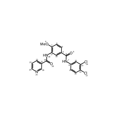 COc1ccc(C(=O)Nc2ccc(Cl)c(Cl)c2)cc1NC(=O)c1cccnc1